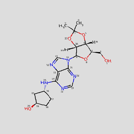 CC1(C)O[C@@H]2[C@@H](CO)OC(n3cnc4c(N[C@@H]5CC[C@@H](O)C5)ncnc43)[C@@H]2O1